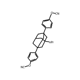 CCCC12CC3CC(c4ccc(OC#N)cc4)(C1)CC(c1ccc(OC#N)cc1)(C3)C2